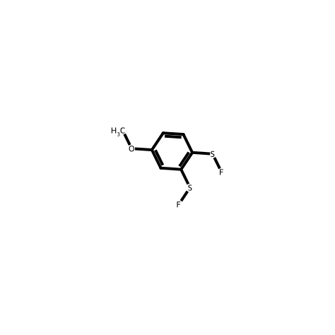 COc1ccc(SF)c(SF)c1